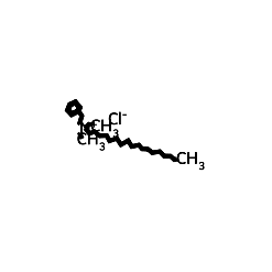 CCCCCCCCCCCCCCCCCC[N+](CC)(CC)CCc1ccccc1.[Cl-]